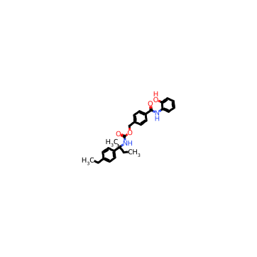 CCc1ccc([C@](C)(CC)NC(=O)OCc2ccc(C(=O)Nc3ccccc3O)cc2)cc1